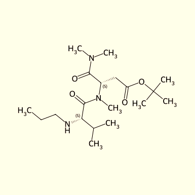 CCCN[C@H](C(=O)N(C)[C@@H](CC(=O)OC(C)(C)C)C(=O)N(C)C)C(C)C